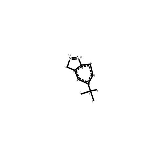 CC(C)(C)c1ccc2c(c1)CN=N2